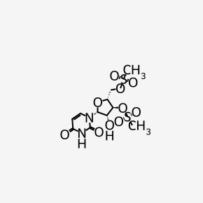 CS(=O)(=O)OC[C@H]1O[C@@H](n2ccc(=O)[nH]c2=O)[C@@H](O)[C@@H]1OS(C)(=O)=O